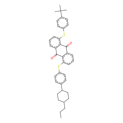 CCCC1CCC(c2ccc(Sc3cccc4c3C(=O)c3cccc(Sc5ccc(C(C)(C)C)cc5)c3C4=O)cc2)CC1